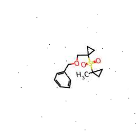 CC1(S(=O)(=O)C2(COCc3ccccc3)CC2)CC1